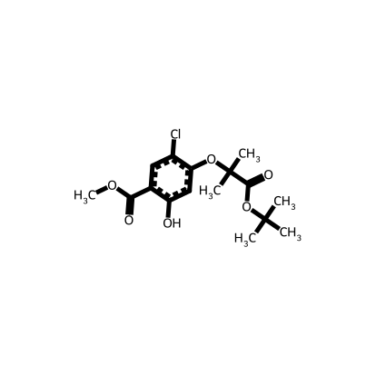 COC(=O)c1cc(Cl)c(OC(C)(C)C(=O)OC(C)(C)C)cc1O